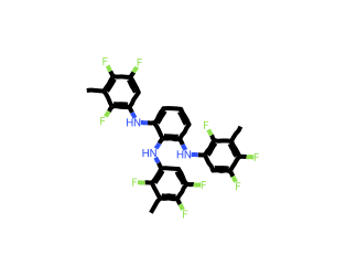 Cc1c(F)c(F)cc(Nc2cccc(Nc3cc(F)c(F)c(C)c3F)c2Nc2cc(F)c(F)c(C)c2F)c1F